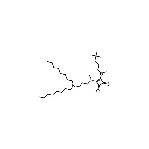 CCCCCCCCN(CCCCCCCC)CCCN(C)c1c(N(C)CCCC(C)(C)C)c(=S)c1=O